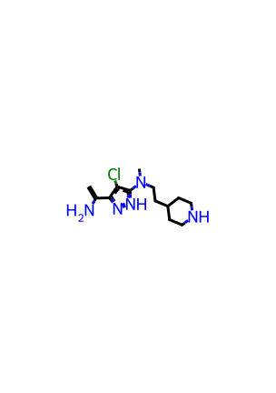 C=C(N)c1n[nH]c(N(C)CCC2CCNCC2)c1Cl